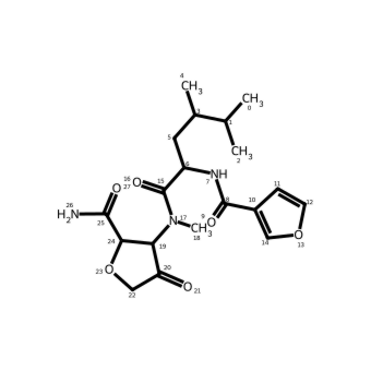 CC(C)C(C)CC(NC(=O)c1ccoc1)C(=O)N(C)C1C(=O)COC1C(N)=O